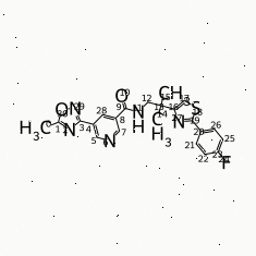 Cc1nc(-c2cncc(C(=O)NCC(C)(C)c3csc(-c4ccc(F)cc4)n3)c2)no1